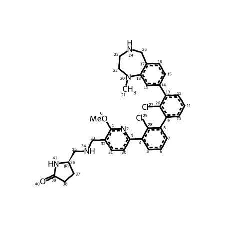 COc1nc(-c2cccc(-c3cccc(-c4ccc5c(c4)N(C)CCNC5)c3Cl)c2Cl)ccc1CNC[C@H]1CCC(=O)N1